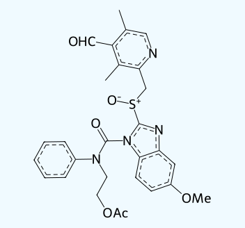 COc1ccc2c(c1)nc([S+]([O-])Cc1ncc(C)c(C=O)c1C)n2C(=O)N(CCOC(C)=O)c1ccccc1